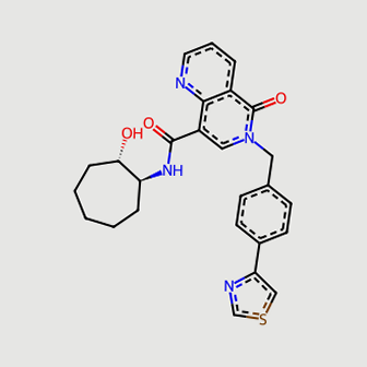 O=C(N[C@H]1CCCCC[C@@H]1O)c1cn(Cc2ccc(-c3cscn3)cc2)c(=O)c2cccnc12